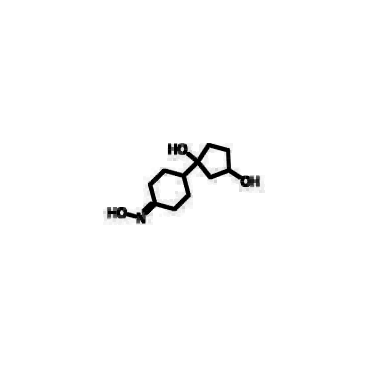 ON=C1CCC(C2(O)CCC(O)C2)CC1